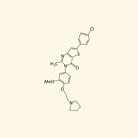 COc1cc(-n2c(C)nc3cc(-c4ccc(Cl)cc4)sc3c2=O)ccc1OCCN1CCCC1